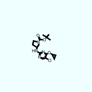 CC(C)(C)OC(=O)N1CCC(Nc2ncc(Cl)c(OC3CC3)n2)C1